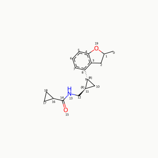 CC1Cc2c(cccc2[C@@H]2C[C@H]2CNC(=O)C2CC2)O1